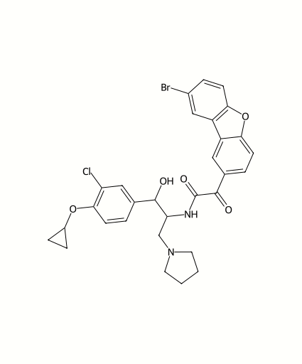 O=C(NC(CN1CCCC1)C(O)c1ccc(OC2CC2)c(Cl)c1)C(=O)c1ccc2oc3ccc(Br)cc3c2c1